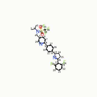 CC(C)N(Cc1ccc(-c2ccc(C3CCC(c4c(F)cccc4F)=N3)cc2)nc1)S(=O)(=O)C(F)(F)F